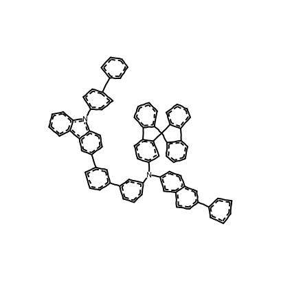 c1ccc(-c2ccc(-n3c4ccccc4c4cc(-c5cccc(-c6cccc(N(c7ccc8c(c7)C7(c9ccccc9-c9ccccc97)c7ccccc7-8)c7ccc8cc(-c9ccccc9)ccc8c7)c6)c5)ccc43)cc2)cc1